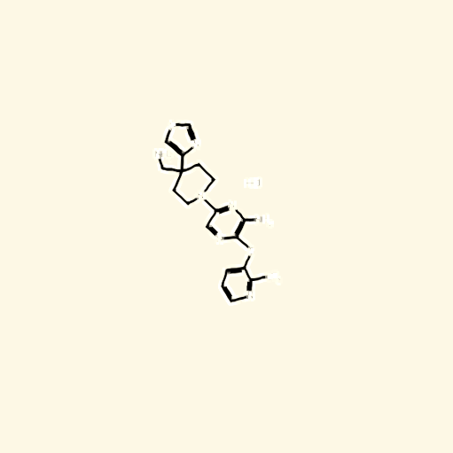 Cl.NCC1(c2cscn2)CCN(c2cnc(Sc3cccnc3C(F)(F)F)c(N)n2)CC1